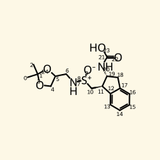 CC1(C)OCC(CN[S+]([O-])C[C@@H]2c3ccccc3C[C@H]2NC(=O)O)O1